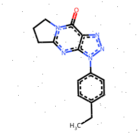 CCc1ccc(-n2nnc3c(=O)n4c(nc32)CCC4)cc1